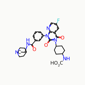 O=C(O)NC1CCC(n2c(=O)c3cc(F)cnc3n(-c3cccc(C(=O)NC4CN5CCC4CC5)c3)c2=O)CC1